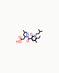 CCc1c(C)cc(C(=O)NC(CC(=O)O)CC(C)C)c(=O)n1CCC(C)C